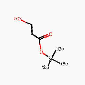 CC(C)(C)[Si](OC(=O)CCO)(C(C)(C)C)C(C)(C)C